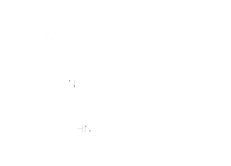 O=C1Nc2ccc(-c3ccccc3)cc2C1=Cc1[nH]cc2c1CCOC2=O